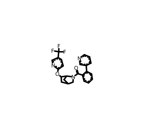 O=C(c1ccccc1-c1cccnc1)N1CC2CC(Oc3ccc(C(F)(F)F)cn3)C1C2